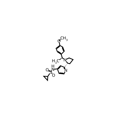 COc1ccc([C@H](C)N2CCC[C@@H]2c2cc(NS(=O)(=O)C3CC3)ccn2)cc1